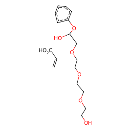 C=CC(=O)O.OCCOCCOCCOCC(O)Oc1ccccc1